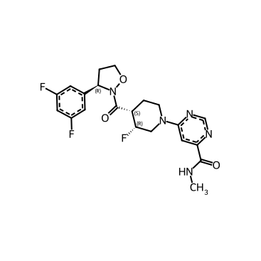 CNC(=O)c1cc(N2CC[C@@H](C(=O)N3OCC[C@@H]3c3cc(F)cc(F)c3)[C@@H](F)C2)ncn1